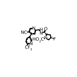 N#Cc1cnc(CNC(=O)[C@H]2C[C@@H](F)CN2C(=O)O)cc1-c1ccc(C(F)(F)F)nc1